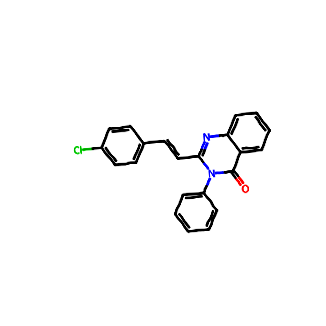 O=c1c2ccccc2nc(C=Cc2ccc(Cl)cc2)n1-c1ccccc1